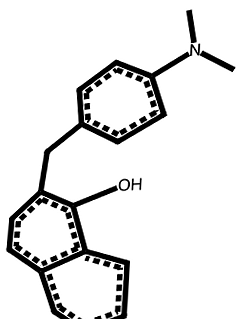 CN(C)c1ccc(Cc2ccc3ccccc3c2O)cc1